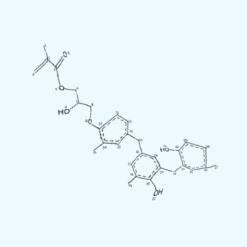 C=C(C)C(=O)OCC(O)COc1ccc(Cc2cc(C)c(O)c(Cc3cc(C)ccc3O)c2)cc1C